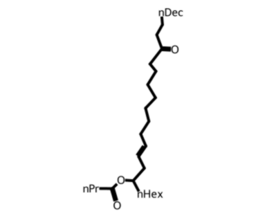 CCCCCCCCCCCCC(=O)CCCCCCCC=CCC(CCCCCC)OC(=O)CCC